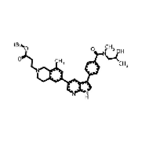 Cc1cc(-c2cnc3[nH]cc(-c4ccc(C(=O)N(C)C[C@H](C)O)cc4)c3c2)cc2c1CN(CCC(=O)OC(C)(C)C)CC2